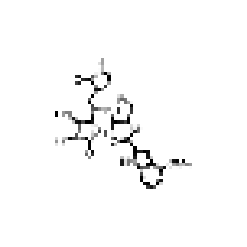 COc1cccc2[nH]c(C(=O)NC(CC(C)C)C(=O)NC(CC3CCNC3=O)C3OC(=O)N(C(C)C)C3=N)cc12